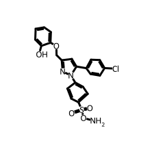 NOS(=O)(=O)c1ccc(-n2nc(COc3ccccc3O)cc2-c2ccc(Cl)cc2)cc1